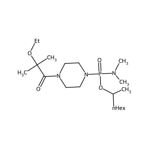 CCCCCCC(C)OP(=O)(N(C)C)N1CCN(C(=O)C(C)(C)OCC)CC1